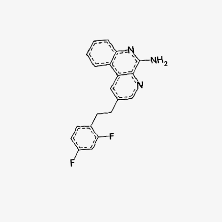 Nc1nc2ccccc2c2cc(CCc3ccc(F)cc3F)cnc12